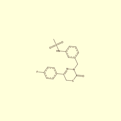 CS(=O)(=O)Nc1cccc(CN2N=C(c3ccc(F)cc3)CSC2=O)c1